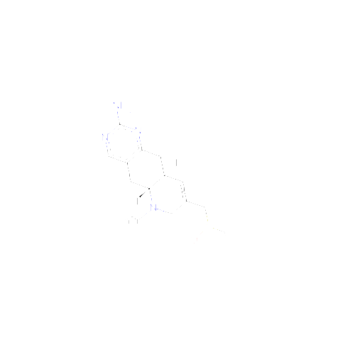 CCCN1CC(C[S+](C)[O-])=C[C@@H]2Cc3nc(N)ncc3C[C@H]21